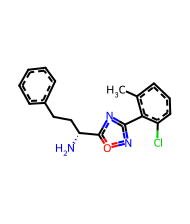 Cc1cccc(Cl)c1-c1noc([C@H](N)CCc2ccccc2)n1